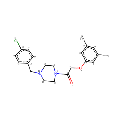 Cc1cc(OCC(=O)N2CCN(Cc3ccc(Cl)cc3)CC2)cc(C(C)C)c1